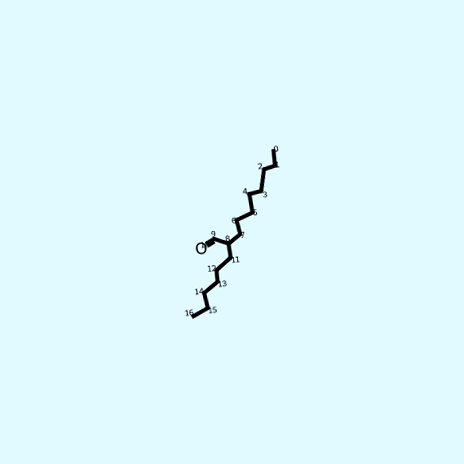 CCCCCCCCC(C=O)CCCCCC